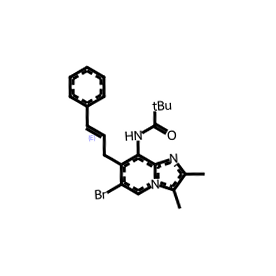 Cc1nc2c(NC(=O)C(C)(C)C)c(C/C=C/c3ccccc3)c(Br)cn2c1C